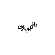 COC(=O)c1ccc(N=NC(=NNc2nc3ccccc3s2)C(C)C)cc1